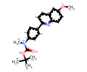 COc1ccc2nc(-c3ccc(N(C)C(=O)OC(C)(C)C)cc3)ccc2c1